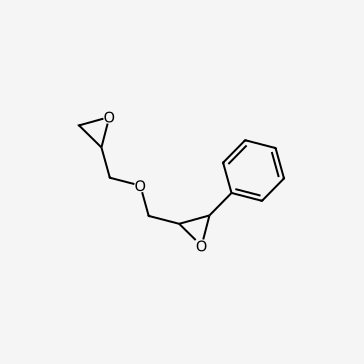 c1ccc(C2OC2COCC2CO2)cc1